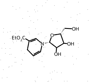 CCOC(=O)C1=CN([C@@H]2O[C@H](CO)C(O)C2O)C=CC1